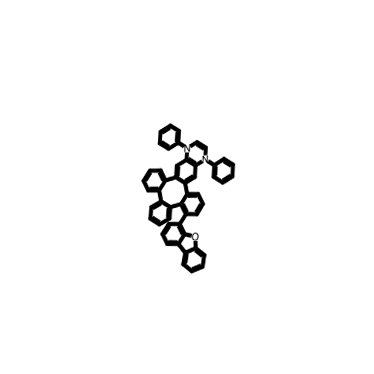 c1ccc(-n2ccn(-c3ccccc3)c3cc4c(cc32)c2ccccc2c2ccccc2c2c(-c3cccc5c3oc3ccccc35)cccc42)cc1